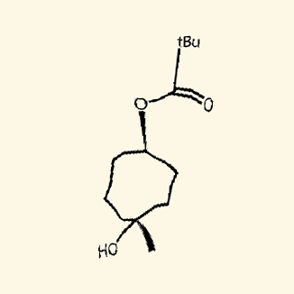 CC(C)(C)C(=O)O[C@H]1CC[C@](C)(O)CC1